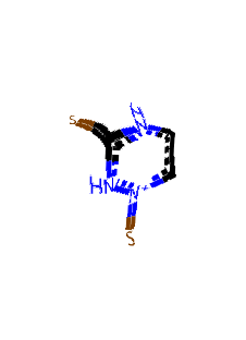 S=c1[nH]cc[n+](=S)[nH]1